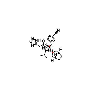 Cc1nnc(C(C)C)n1[C@@H]1C[C@H]2CC[C@@H](C1)N2CC[C@H](NC(=O)Cc1nnn[nH]1)c1ccc(C#N)s1